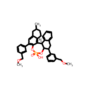 COCc1cccc(-c2cc3c(c4c2OP(=O)(O)OC2C(c5cccc(COC)c5)Cc5ccccc5[C@H]42)CCC(C)C3)c1